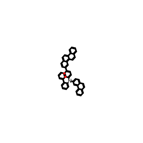 c1ccc(-c2ccccc2N(c2ccc(-c3ccc4ccc5c6ccccc6ccc5c4c3)cc2)c2ccc3ccc4ccccc4c3c2)cc1